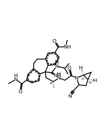 CNC(=O)c1ccc2c(c1)CCc1cc(C(=O)NC)ccc1C2(C[C@@H](C)NCC(=O)N1C(C#N)C[C@@H]2C[C@@H]21)C(=N)NC(C)C